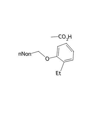 CC(=O)O.CCCCCCCCCCOc1ccccc1CC